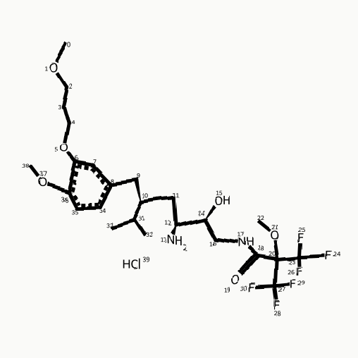 COCCCOc1cc(C[C@@H](C[C@H](N)[C@@H](O)CNC(=O)C(OC)(C(F)(F)F)C(F)(F)F)C(C)C)ccc1OC.Cl